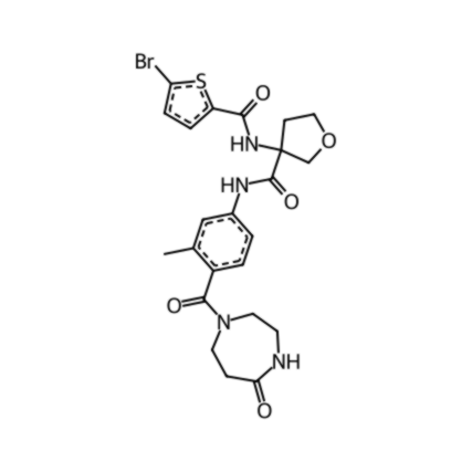 Cc1cc(NC(=O)C2(NC(=O)c3ccc(Br)s3)CCOC2)ccc1C(=O)N1CCNC(=O)CC1